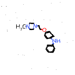 CN1CCN(CCOc2ccc(Nc3ccccc3)cc2)CC1